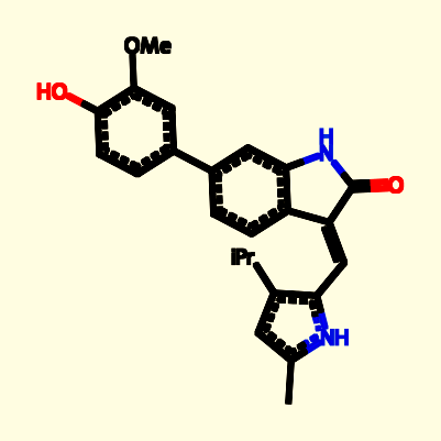 COc1cc(-c2ccc3c(c2)NC(=O)C3=Cc2[nH]c(C)cc2C(C)C)ccc1O